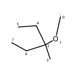 [CH2]OC(C)(CC)CC